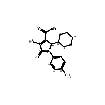 CCCC(=O)C1=C(O)C(=O)N(c2ccc(C)cc2)C1C1CCCCC1